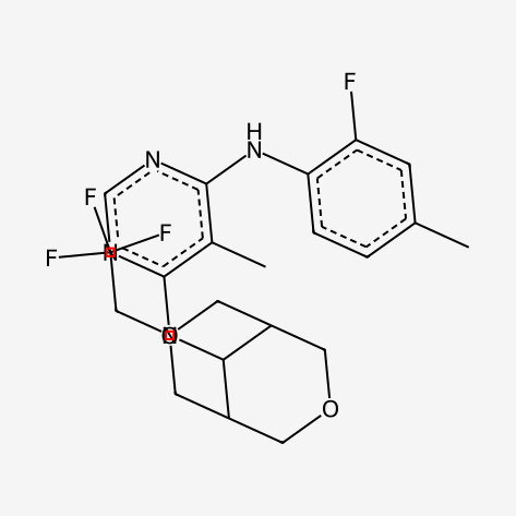 Cc1ccc(Nc2ncnc(OC3C4COCC3CN(CC(F)(F)F)C4)c2C)c(F)c1